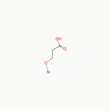 [N]OCCC(=O)O